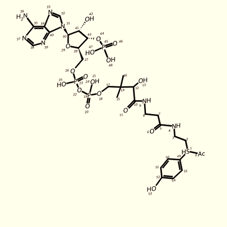 CC(=O)[SH](CCNC(=O)CCNC(=O)C(O)C(C)(C)COP(=O)(O)OP(=O)(O)OC[C@H]1O[C@@H](n2cnc3c(N)ncnc32)[C@H](O)[C@@H]1OP(=O)(O)O)c1ccc(O)cc1